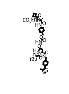 CCOC(=O)C1(C(=O)N[C@@H](C)C(=O)Nc2ccc(COC(=O)NCO[C@@H]3C[C@@H](C(=O)NCc4ccc(-c5scnc5C)cc4)N(C(=O)[C@@H](N)C(C)(C)C)C3)cc2)CCC1